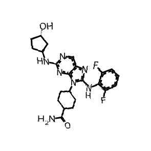 NC(=O)C1CCC(n2c(Nc3c(F)cccc3F)nc3cnc(NC4CC[C@H](O)C4)nc32)CC1